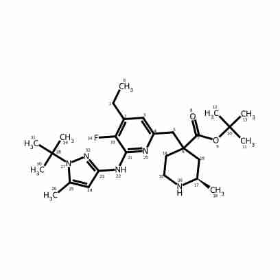 CCc1cc(CC2(C(=O)OC(C)(C)C)CCN[C@H](C)C2)nc(Nc2cc(C)n(C(C)(C)C)n2)c1F